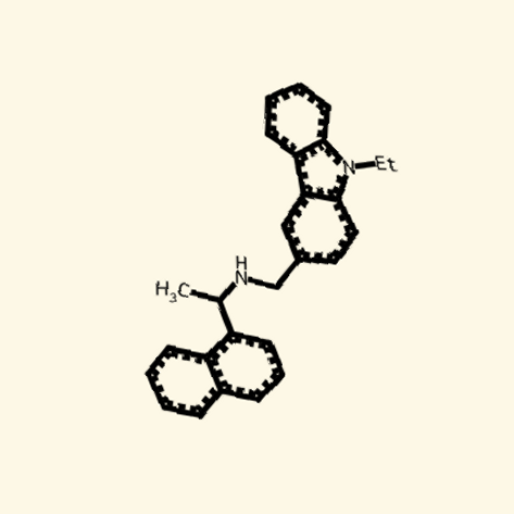 CCn1c2ccccc2c2cc(CNC(C)c3cccc4ccccc34)ccc21